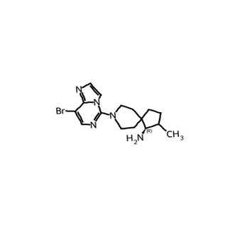 CC1CCC2(CCN(c3ncc(Br)c4nccn34)CC2)[C@@H]1N